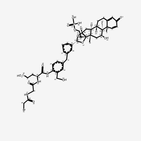 C[C@]12C=CC(=O)C=C1CC[C@H]1[C@@H]3C[C@H]4O[C@@H](c5cccc(Cc6ccc(NC(=O)[C@H](CCC(=O)O)NC(=O)CNC(=O)CBr)c(CO)c6)c5)O[C@@]4(C(=O)COP(=O)(O)O)[C@@]3(C)C[C@H](O)[C@@]12F